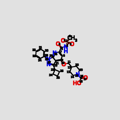 CS(=O)(=O)NC(=O)c1cc(OCC2CCN(C(=O)O)CC2)c2c(C3CCC3)nn(-c3ccccc3)c2n1